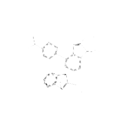 CC1=C2c3ccsc3C1[Si]2(C)C.CC1=Cc2c(-c3ccc(C(C)C)cc3)cccc2[CH]1[Zr+2].[Cl-].[Cl-]